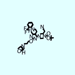 CC(C)(C)OC(=O)N1CCN(c2nc(OCCCN3C[C@H]4CC3CO4)nc3c2CCN(c2ccccc2C(F)(F)F)C3)CC1CC#N